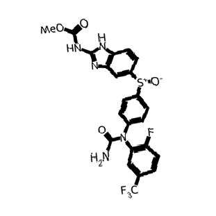 COC(=O)Nc1nc2cc([S+]([O-])c3ccc(N(C(N)=O)c4cc(C(F)(F)F)ccc4F)cc3)ccc2[nH]1